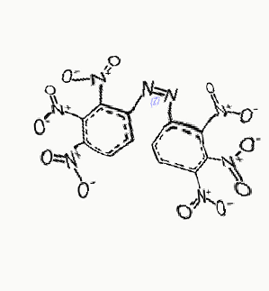 O=[N+]([O-])c1ccc(/N=N\c2ccc([N+](=O)[O-])c([N+](=O)[O-])c2[N+](=O)[O-])c([N+](=O)[O-])c1[N+](=O)[O-]